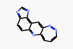 c1cnnc2cc3c(ccc4ncnc43)nc2c1